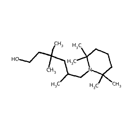 CC(CN1C(C)(C)CCCC1(C)C)CC(C)(C)CCO